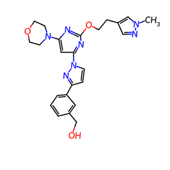 Cn1cc(CCOc2nc(N3CCOCC3)cc(-n3ccc(-c4cccc(CO)c4)n3)n2)cn1